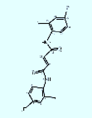 Cc1cc(F)ccc1NC(=O)C=CC(=O)Nc1ccc(F)cc1C